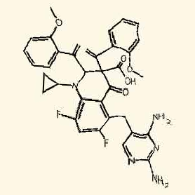 C=C(c1ccccc1OC)C1N(C2CC2)c2c(F)cc(F)c(Cc3cnc(N)nc3N)c2C(=O)C1(C(=C)c1ccccc1OC)C(=O)O